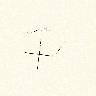 CC(C)(C)O[C]=O.O=CO